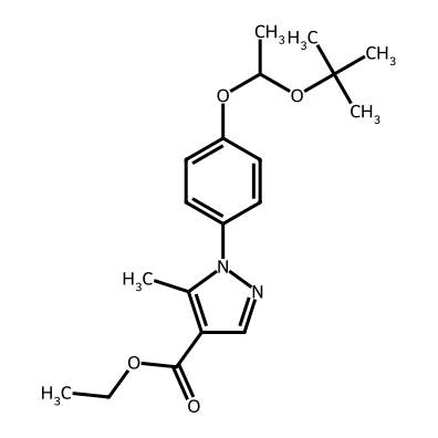 CCOC(=O)c1cnn(-c2ccc(OC(C)OC(C)(C)C)cc2)c1C